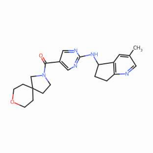 Cc1cnc2c(c1)C(Nc1ncc(C(=O)N3CCC4(CCOCC4)C3)cn1)CC2